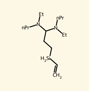 C=C[SiH2]CCC(N(CC)CCC)N(CC)CCC